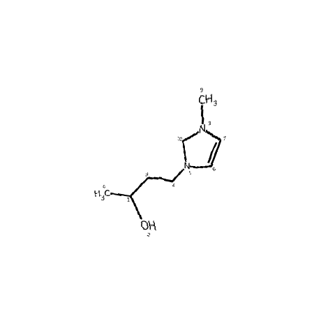 CC(O)CCN1C=CN(C)C1